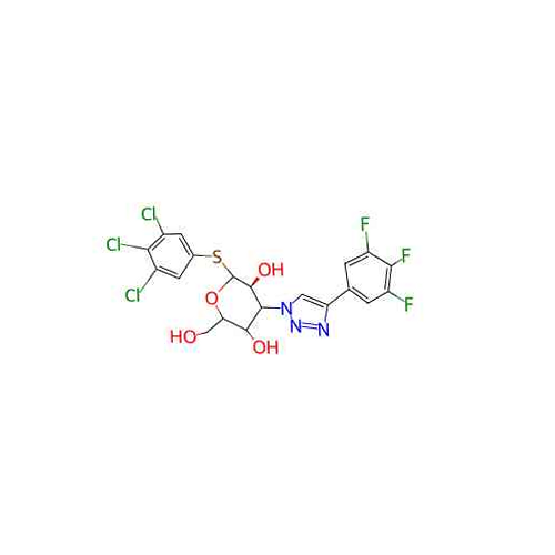 OCC1OC(Sc2cc(Cl)c(Cl)c(Cl)c2)[C@@H](O)C(n2cc(-c3cc(F)c(F)c(F)c3)nn2)C1O